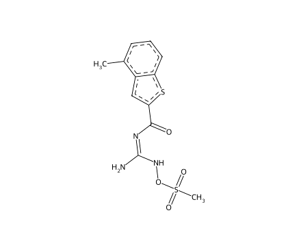 Cc1cccc2sc(C(=O)N=C(N)NOS(C)(=O)=O)cc12